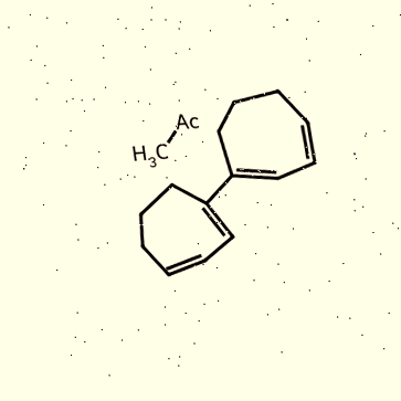 C1=CCCCC(C2=CC=CCCC2)=C1.CC(C)=O